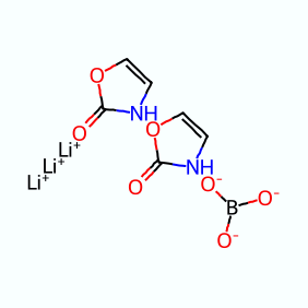 O=c1[nH]cco1.O=c1[nH]cco1.[Li+].[Li+].[Li+].[O-]B([O-])[O-]